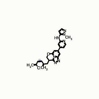 C=C(Cl)/C=C\C(=C)CC1COc2cc(-c3ccnc(Nc4ccnn4C)c3)cc3nnc1n23